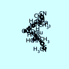 Cc1ncsc1-c1ccc([C@H](C)NC(=O)[C@@H]2C[C@@H](O)CN2C(=O)[C@@H](NC(=O)CCCC2(N3CCN(c4ccc(C(=O)N[C@H]5C(C)(C)[C@H](Oc6ccc(C#N)c(Cl)c6)C5(C)C)cn4)CC3)COC2)C(C)(C)C)cc1